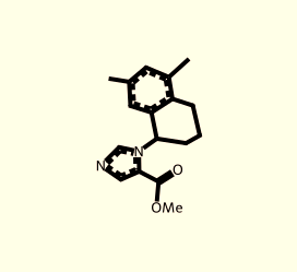 COC(=O)c1cncn1C1CCCc2c(C)cc(C)cc21